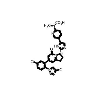 CN(C(=O)O)c1ccc(-c2cnc([C@@H]3CCc4cc(-c5cc(Cl)ccc5-n5cc(Cl)nn5)cc(=O)n43)[nH]2)cn1